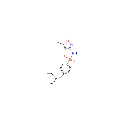 CCC(CC)Cc1ccc(S(=O)(=O)Nc2cc(C)on2)cc1